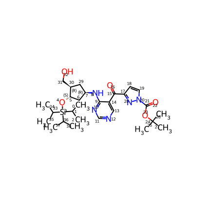 CC(C)[Si](O[C@H]1C[C@H](Nc2ncncc2C(=O)c2ccn(C(=O)OC(C)(C)C)n2)C[C@@H]1CO)(C(C)C)C(C)C